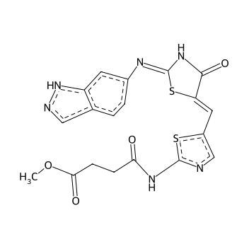 COC(=O)CCC(=O)Nc1ncc(/C=C2\SC(=Nc3ccc4cn[nH]c4c3)NC2=O)s1